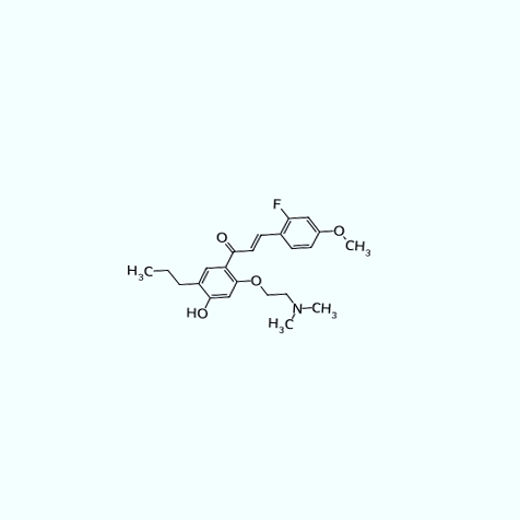 CCCc1cc(C(=O)C=Cc2ccc(OC)cc2F)c(OCCN(C)C)cc1O